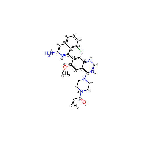 C=CC(=O)N1CCN(c2ncnc3cc(-c4nc(N)cc5cccc(F)c45)c(OC)cc23)CC1